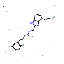 O=C(CCCc1cc(F)ccc1F)[N]Cc1nc2c(CCCF)cccc2[nH]1